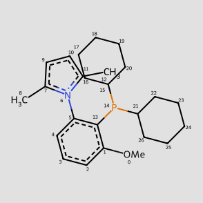 COc1cccc(-n2c(C)ccc2C)c1P(C1CCCCC1)C1CCCCC1